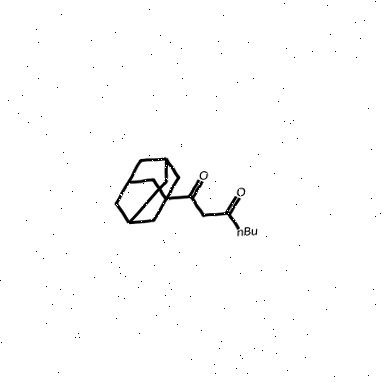 CCCCC(=O)CC(=O)C12CC3CC(CC(C3)C1)C2